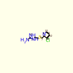 N=C(N)NCCSCc1ncccc1Cl